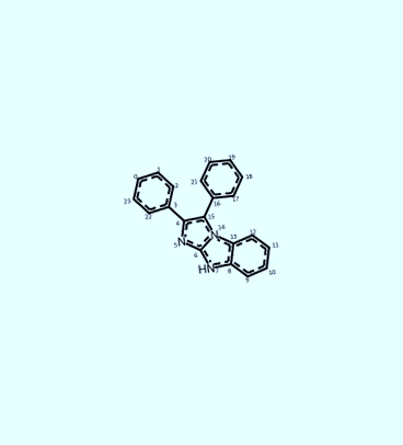 c1ccc(-c2nc3[nH]c4ccccc4n3c2-c2ccccc2)cc1